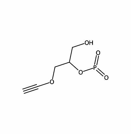 C#COCC(CO)OP(=O)=O